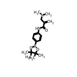 C=C(CN(C)C)C(=O)Nc1ccc(B2OC(C)(C)C(C)(C)O2)cc1